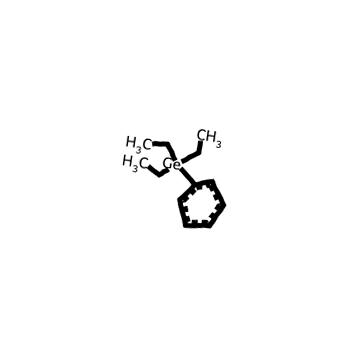 C[CH2][Ge]([CH2]C)([CH2]C)[c]1ccccc1